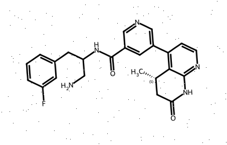 C[C@H]1CC(=O)Nc2nccc(-c3cncc(C(=O)NC(CN)Cc4cccc(F)c4)c3)c21